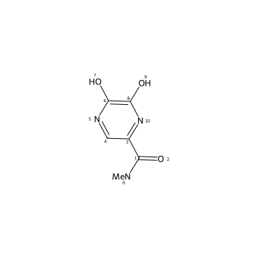 CNC(=O)c1cnc(O)c(O)n1